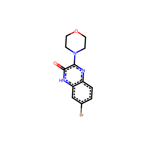 O=c1[nH]c2cc(Br)ccc2nc1N1CCOCC1